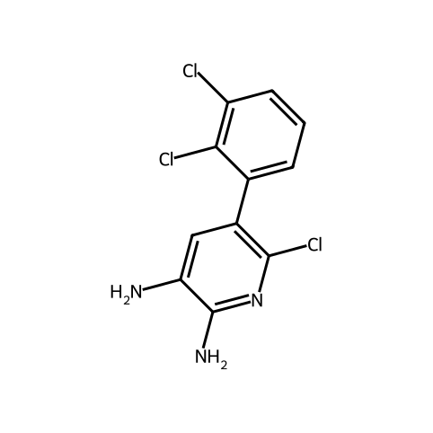 Nc1cc(-c2cccc(Cl)c2Cl)c(Cl)nc1N